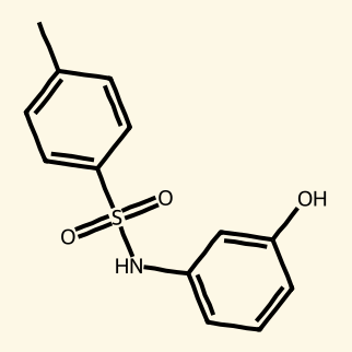 Cc1ccc(S(=O)(=O)Nc2cccc(O)c2)cc1